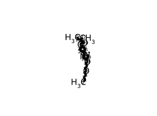 CCCCCOCCCOc1cnc(-c2ccc(OC(=O)C(C)CC)cc2)nc1